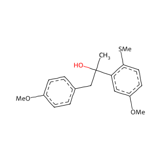 COc1ccc(CC(C)(O)c2cc(OC)ccc2SC)cc1